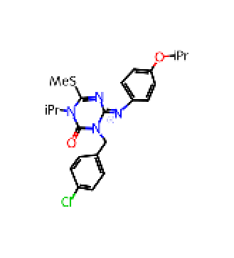 CSc1n/c(=N\c2ccc(OC(C)C)cc2)n(Cc2ccc(Cl)cc2)c(=O)n1C(C)C